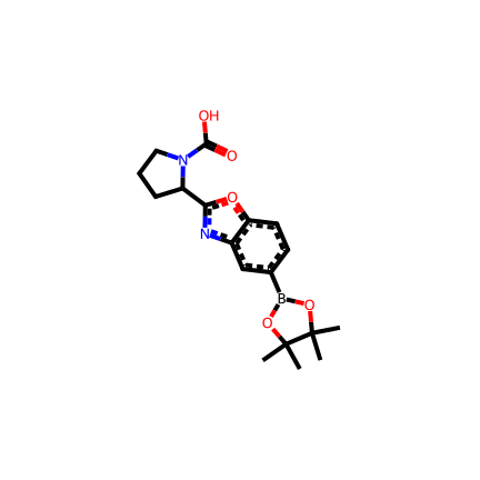 CC1(C)OB(c2ccc3oc(C4CCCN4C(=O)O)nc3c2)OC1(C)C